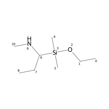 CCO[Si](C)(C)C(CC)NC